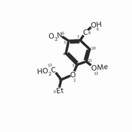 CCC(Oc1cc([N+](=O)[O-])c(CO)cc1OC)C(=O)O